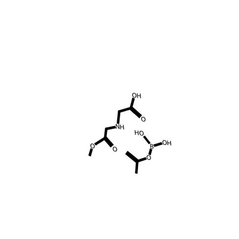 C=C(C)OB(O)O.COC(=O)CNCC(=O)O